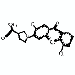 O=C(O)C1CCN(c2cc3oc4c(Cl)cccc4c(=O)c3cc2F)C1